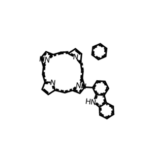 C1=Cc2cc3cc(-c4cccc5c4[nH]c4ccccc45)c(cc4nc(cc5ccc(cc1n2)[nH]5)C=C4)[nH]3.c1ccccc1